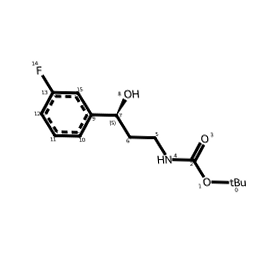 CC(C)(C)OC(=O)NCC[C@H](O)c1cccc(F)c1